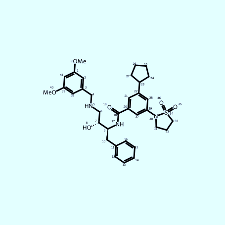 COc1cc(CNC[C@@H](O)[C@H](Cc2ccccc2)NC(=O)c2cc(C3CCCC3)cc(N3CCCS3(=O)=O)c2)cc(OC)c1